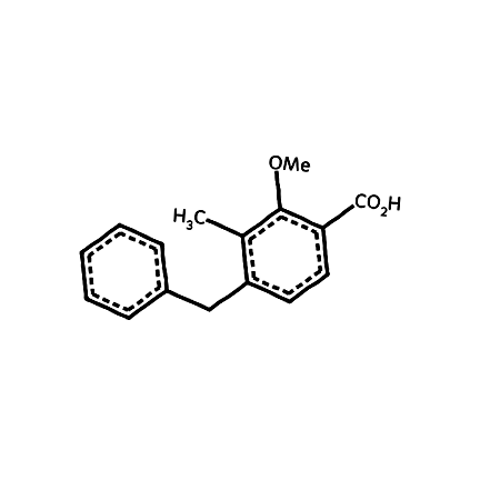 COc1c(C(=O)O)ccc(Cc2ccccc2)c1C